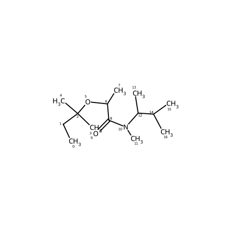 CCC(C)(C)OC(C)C(=O)N(C)C(C)C(C)C